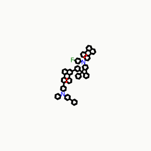 Fc1ccc(N(c2ccc(-c3cccc4cccc(-c5ccccc5)c34)cc2)c2ccc3c(c2)C(c2ccccc2)(c2cccc(-c4cc(-c5ccccc5)c5c(-c6ccc(-c7ccc(N(c8ccccc8)c8ccc(-c9ccccc9)cc8)cc7)cc6)cccc5c4)c2)c2ccccc2-3)cc1